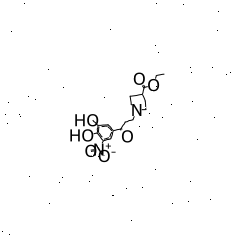 CCOC(=O)C1CCN(CCC(=O)c2cc(O)c(O)c([N+](=O)[O-])c2)CC1